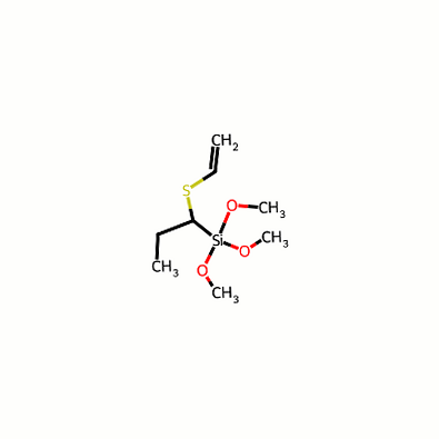 C=CSC(CC)[Si](OC)(OC)OC